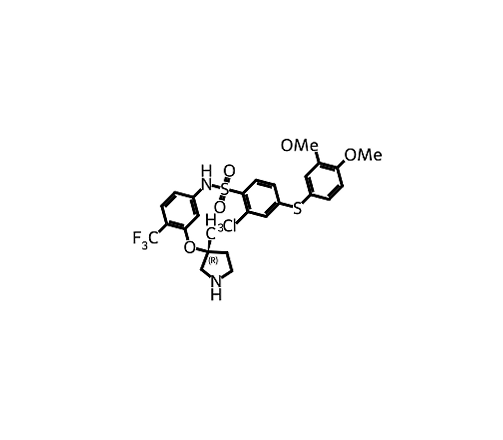 COc1ccc(Sc2ccc(S(=O)(=O)Nc3ccc(C(F)(F)F)c(O[C@]4(C)CCNC4)c3)c(Cl)c2)cc1OC